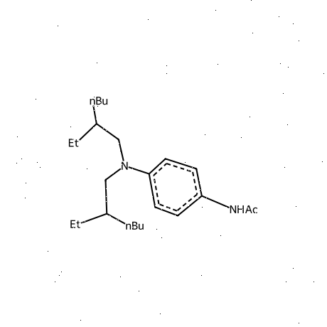 CCCCC(CC)CN(CC(CC)CCCC)c1ccc(NC(C)=O)cc1